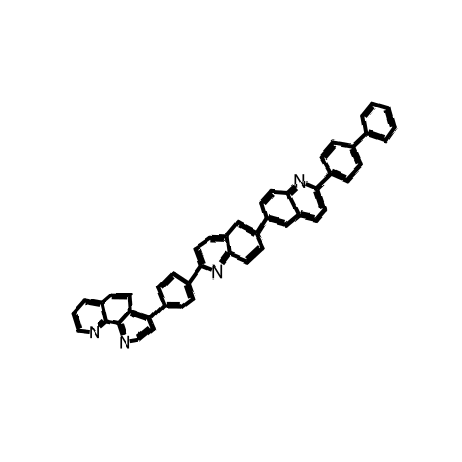 c1ccc(-c2ccc(-c3ccc4cc(-c5ccc6nc(-c7ccc(-c8ccnc9c8ccc8cccnc89)cc7)ccc6c5)ccc4n3)cc2)cc1